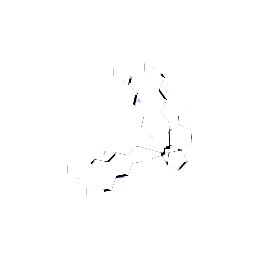 C=C/C=C/CCC1=C(CC/C=C/C=C)C23CC(C)CCC24C=CC(C4)C3C1(CC/C=C/C=C)CC/C=C/C=C